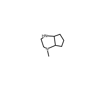 CN1CCNC2CCCC21